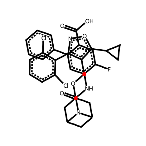 O=C(O)c1cc(F)c(NC(=O)N2C3CC(OCc4c(-c5c(Cl)cccc5Cl)noc4C4CC4)CC2C3)cc1-c1ccccc1